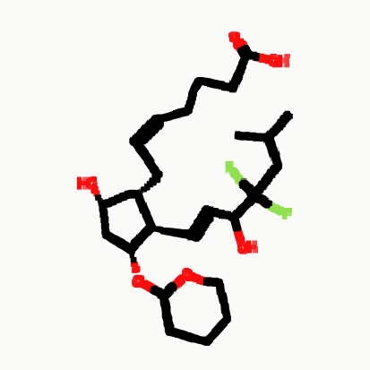 CC(C)CC(F)(F)C(O)/C=C/[C@@H]1[C@@H](C/C=C\CCCC(=O)O)[C@@H](O)C[C@H]1OC1CCCCO1